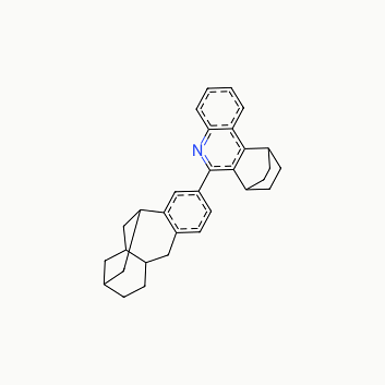 c1ccc2c3c(c(-c4ccc5c(c4)C4CC6CCC(C5)C(C6)C4)nc2c1)C1CCC3CC1